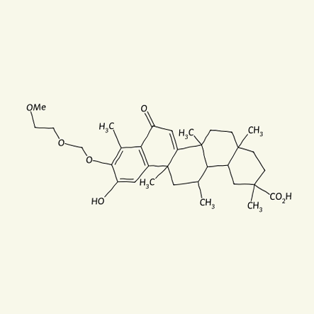 COCCOCOc1c(O)cc2c(c1C)C(=O)C=C1C2(C)CC(C)C2C3CC(C)(C(=O)O)CCC3(C)CCC12C